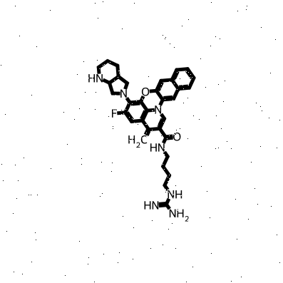 C=c1c(C(=O)NCCCCNC(=N)N)cn2c3cc4ccccc4cc3oc3c(N4CC5CCCNC5C4)c(F)cc1c3-2